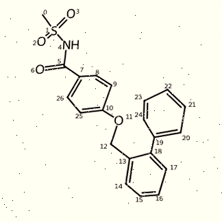 CS(=O)(=O)NC(=O)c1ccc(OCc2ccccc2-c2ccccc2)cc1